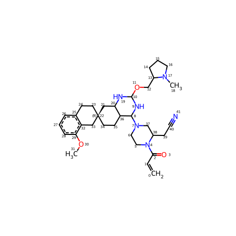 C=CC(=O)N1CCN(C2NC(OCC3CCCN3C)NC3C[C@@]4(CCc5cccc(OC)c5C4)CCC32)CC1CC#N